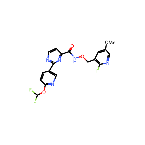 COc1cnc(F)c(CONC(=O)c2ccnc(-c3ccc(OC(F)F)nc3)n2)c1